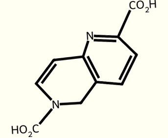 O=C(O)c1ccc2c(n1)C=CN(C(=O)O)C2